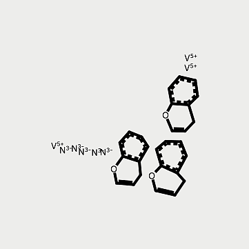 C1=COc2ccccc2C1.C1=COc2ccccc2C1.C1=COc2ccccc2C1.[N-3].[N-3].[N-3].[N-3].[N-3].[V+5].[V+5].[V+5]